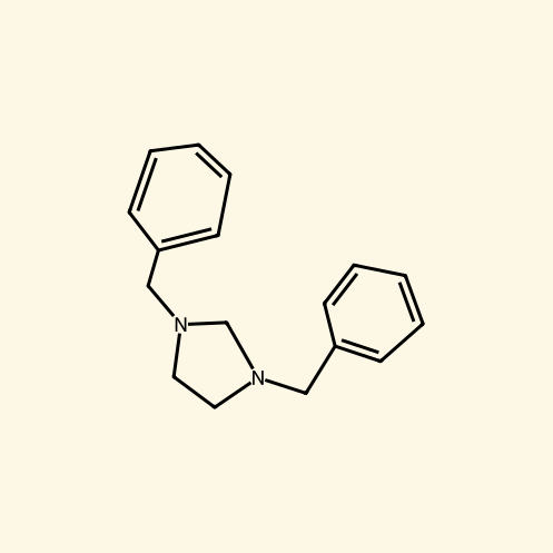 c1ccc(CN2CCN(Cc3ccccc3)C2)cc1